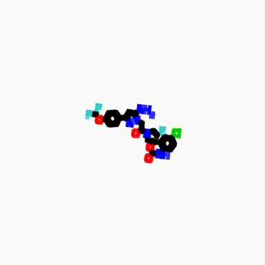 Nc1cc(-c2ccc(OC(F)F)cc2)nn1CC(=O)N1CC[C@@]2(C1)OC(=O)Nc1ccc(Cl)c(F)c12